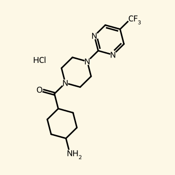 Cl.NC1CCC(C(=O)N2CCN(c3ncc(C(F)(F)F)cn3)CC2)CC1